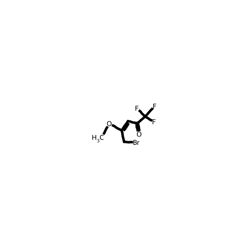 COC(=CC(=O)C(F)(F)F)CBr